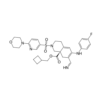 N=CC1=C(Nc2ccc(F)cc2)C=C2CCN(S(=O)(=O)c3ccc(N4CCOCC4)nc3)C[C@@]2(C(=O)OCC2CCC2)C1